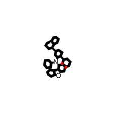 c1ccc(-c2ccc(-c3cccc4ccccc34)cc2N(c2ccccc2)c2cccc3oc4ccccc4c23)cc1